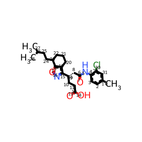 Cc1ccc(NC(=O)C[C@H](CCC(=O)O)c2noc3c2CCCC3CCC(C)C)c(Cl)c1